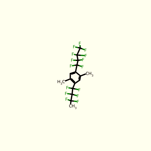 Cc1cc(C(F)(F)C(F)(F)C(F)(F)C(F)(F)F)c(C)cc1C(F)(F)C(F)(F)C(C)(F)F